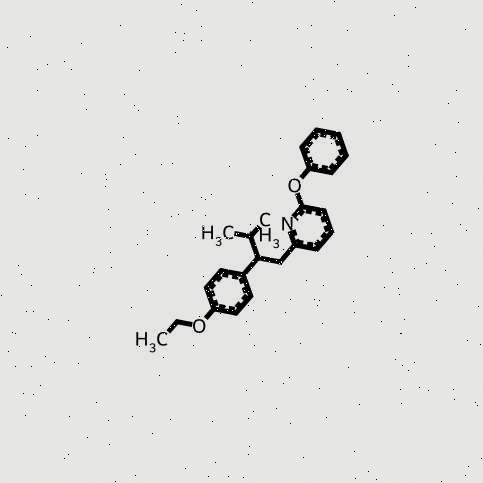 CCOc1ccc(C(Cc2cccc(Oc3ccccc3)n2)[C](C)C)cc1